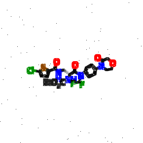 CCOC(=O)N[C@H](CNC(=O)c1ccc(Cl)s1)C(=O)N(c1ccc(N2CCOCC2=O)cc1)C(F)F